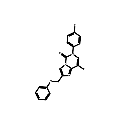 O=c1n(-c2ccc(F)cc2)cc(I)c2nc(COc3ccccc3)cn12